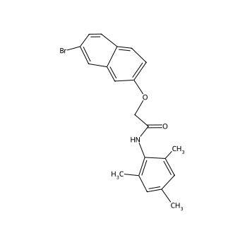 Cc1cc(C)c(NC(=O)COc2ccc3ccc(Br)cc3c2)c(C)c1